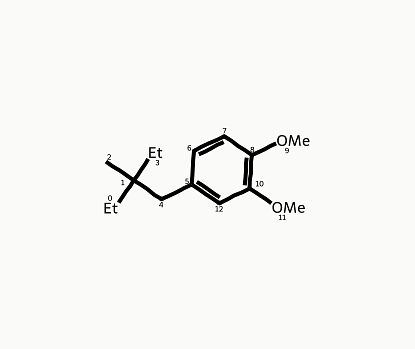 CCC(C)(CC)Cc1ccc(OC)c(OC)c1